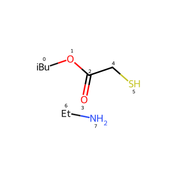 CCC(C)OC(=O)CS.CCN